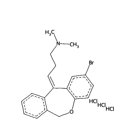 CN(C)CCC=C1c2ccccc2COc2ccc(Br)cc21.Cl.Cl.Cl